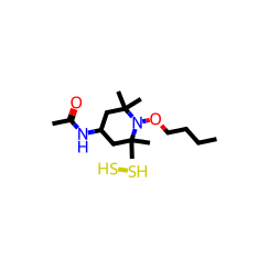 CCCCON1C(C)(C)CC(NC(C)=O)CC1(C)C.SS